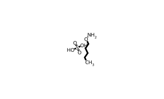 CCCCCON.O=S(=O)(O)O